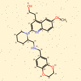 COc1ccc2nc(N3CCCCC3CNCc3ccc4c(c3)OCCO4)cc(CCO)c2c1